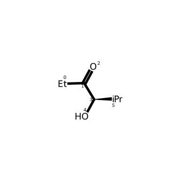 CCC(=O)[C@H](O)C(C)C